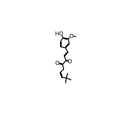 COc1cc(/C=C/C(=O)C(=O)C/C=C\C(C)(C)C)ccc1O